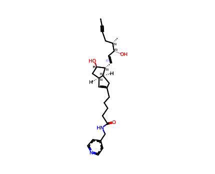 CC#CC[C@H](C)[C@H](O)/C=C/[C@@H]1[C@H]2CC(CCCCC(=O)NCc3ccncc3)=C[C@H]2C[C@H]1O